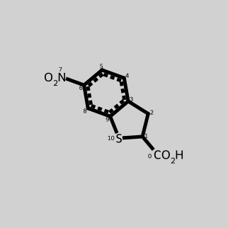 O=C(O)C1Cc2ccc([N+](=O)[O-])cc2S1